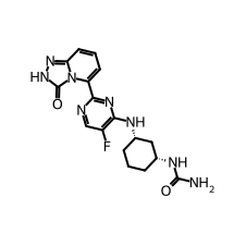 NC(=O)N[C@@H]1CCC[C@H](Nc2nc(-c3cccc4n[nH]c(=O)n34)ncc2F)C1